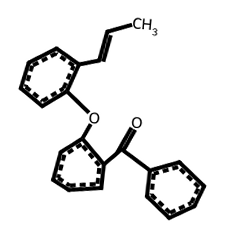 CC=Cc1ccccc1Oc1ccccc1C(=O)c1ccccc1